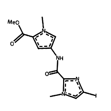 COC(=O)c1cc(NC(=O)c2nc(I)cn2C)cn1C